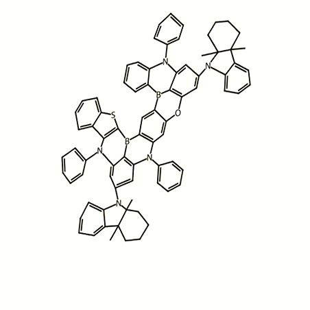 CC12CCCCC1(C)N(c1cc3c4c(c1)N(c1ccccc1)c1ccccc1B4c1cc4c(cc1O3)N(c1ccccc1)c1cc(N3c5ccccc5C5(C)CCCCC35C)cc3c1B4c1sc4ccccc4c1N3c1ccccc1)c1ccccc12